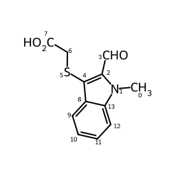 Cn1c(C=O)c(SCC(=O)O)c2ccccc21